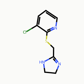 Clc1cccnc1SCC1=NCCN1